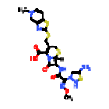 CO/N=C(/C(=O)NC1C(=O)N2C(C(=O)O)=C(CSc3nc4c(s3)C=CN(C)C4)CS[C@H]12)N1C=C(N)SN1